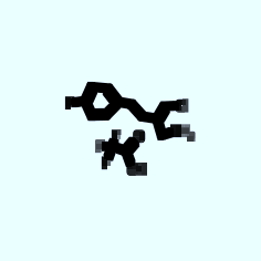 NCC(=CCl)CCc1ccc(F)cc1.O=C(O)C(F)(F)F